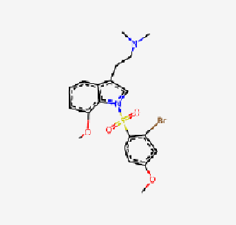 COc1ccc(S(=O)(=O)n2cc(CCN(C)C)c3cccc(OC)c32)c(Br)c1